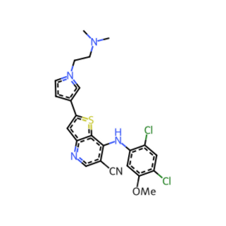 COc1cc(Nc2c(C#N)cnc3cc(-c4ccn(CCN(C)C)c4)sc23)c(Cl)cc1Cl